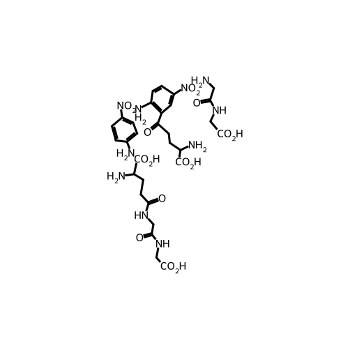 NC(CCC(=O)NCC(=O)NCC(=O)O)C(=O)O.NCC(=O)NCC(=O)O.Nc1ccc([N+](=O)[O-])cc1.Nc1ccc([N+](=O)[O-])cc1C(=O)CCC(N)C(=O)O